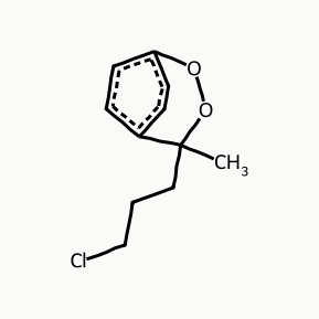 CC1(CCCCl)OOc2ccc1cc2